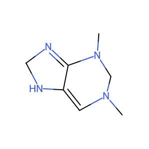 CN1C=C2NCN=C2N(C)C1